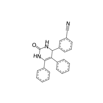 N#Cc1cccc(C2NC(=O)NC(c3ccccc3)=C2c2ccccc2)c1